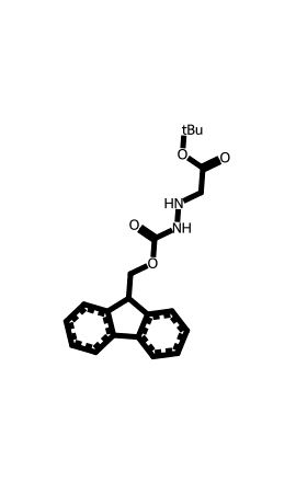 CC(C)(C)OC(=O)CNNC(=O)OCC1c2ccccc2-c2ccccc21